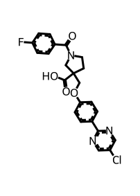 O=C(c1ccc(F)cc1)N1CCC(COc2ccc(-c3ncc(Cl)cn3)cc2)(C(=O)O)C1